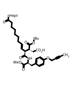 CC#CCOc1ccc(C[C@H](NC(=O)[C@@H](/C=C/CCCCCCC(=O)CCCCCCC)[C@@H](CC(=O)O)C(=O)OC(C)(C)C)C(=O)OC)cc1